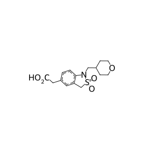 O=C(O)Cc1ccc2c(c1)CS(=O)(=O)N2CC1CCOCC1